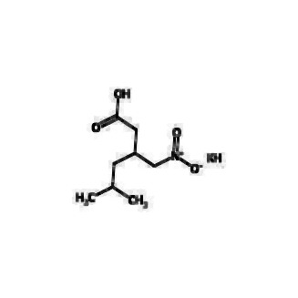 CC(C)CC(CC(=O)O)C[N+](=O)[O-].[KH]